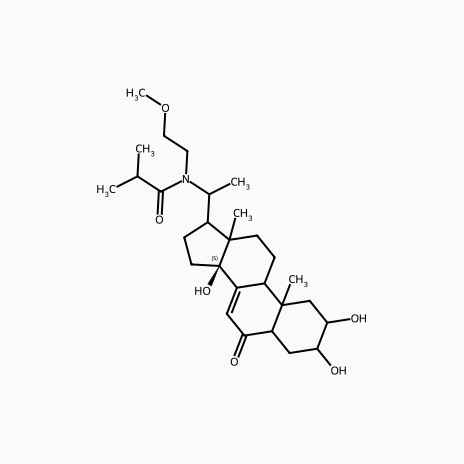 COCCN(C(=O)C(C)C)C(C)C1CC[C@@]2(O)C3=CC(=O)C4CC(O)C(O)CC4(C)C3CCC12C